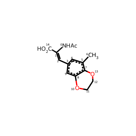 CC(=O)N/C(=C\c1cc(C)c2c(c1)OCCO2)C(=O)O